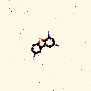 Ic1ccc2oc3c(I)cc(I)cc3c2c1